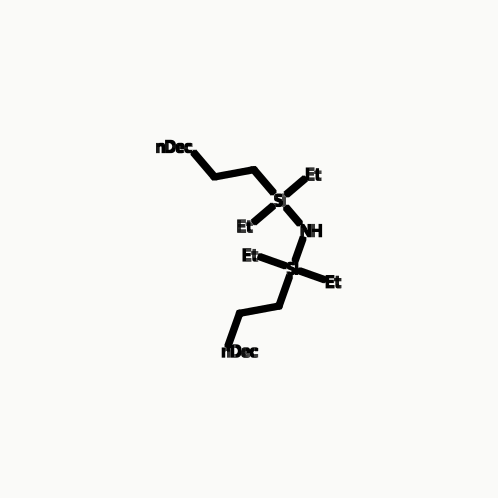 CCCCCCCCCCCC[Si](CC)(CC)N[Si](CC)(CC)CCCCCCCCCCCC